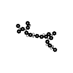 C1=C=CC(c2nc3cc4c(cc3o2)oc2ccc(N(c3ccc5oc6cc(-c7ccc(-c8nc9cc%10oc%11ccc(N(c%12ccc%13oc%14ccccc%14c%13c%12)c%12ccc%13c(c%12)c%12ccccc%12n%13-c%12ccccc%12)cc%11c%10cc9o8)cc7)ccc6c5c3)c3cccc5c3c3ccccc3n5-c3ccccc3)cc24)=CC=1